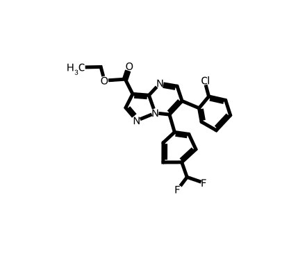 CCOC(=O)c1cnn2c(-c3ccc(C(F)F)cc3)c(-c3ccccc3Cl)cnc12